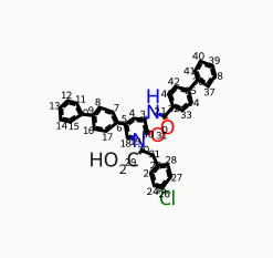 O=C(Nc1cc(-c2ccc(-c3ccccc3)cc2)cn(C(Cc2ccc(Cl)cc2)C(=O)O)c1=O)c1ccc(-c2ccccc2)cc1